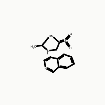 CC1CNC(=S(=O)=O)CN1.c1ccc2cnccc2c1